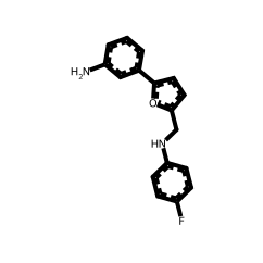 Nc1cccc(-c2ccc(CNc3ccc(F)cc3)o2)c1